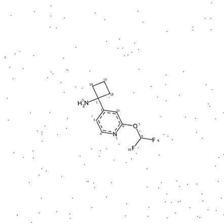 NC1(c2ccnc(OC(F)F)c2)CCC1